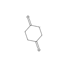 O=C1[CH]CC(=O)CC1